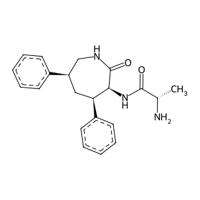 C[C@H](N)C(=O)N[C@@H]1C(=O)NC[C@H](c2ccccc2)C[C@@H]1c1ccccc1